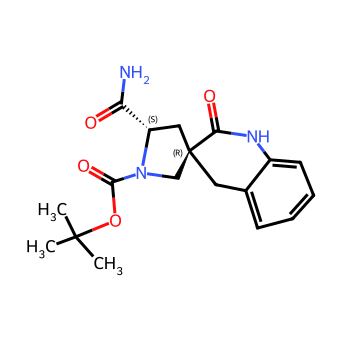 CC(C)(C)OC(=O)N1C[C@@]2(Cc3ccccc3NC2=O)C[C@H]1C(N)=O